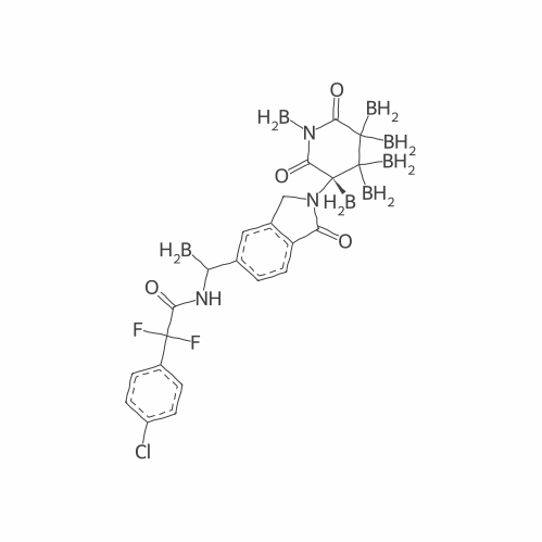 BC(NC(=O)C(F)(F)c1ccc(Cl)cc1)c1ccc2c(c1)CN([C@]1(B)C(=O)N(B)C(=O)C(B)(B)C1(B)B)C2=O